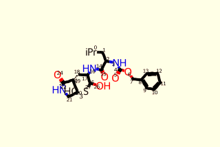 CC(C)CC(NC(=O)OCc1ccccc1)C(=O)NC(C[C@@H]1CCNC1=O)C(O)S(=O)(=O)O